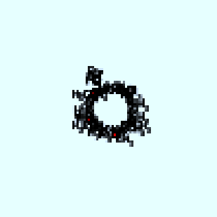 CC[C@H](C)[C@@H]1NC(=O)[C@H](CC(C)C)N(C)C(=O)C[C@@H](C)NC(=O)[C@H](CC(C)C)N(C)C(=O)C(C)(C)NC(=O)[C@H](CC(C)C)N(C)C(=O)[C@H](CCc2cc(F)c(C(F)(F)F)c(F)c2)NC(=O)CN(C)C(=O)[C@H](CC2CCCCC2)N(C)C(=O)CN(C)C(=O)CN(C)C1=O